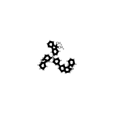 CC1(C)c2ccccc2-c2cc(N(c3ccc(-c4ccc5ccc6sc7ccccc7c6c5c4)cc3)c3ccc4sc5ccccc5c4c3)ccc21